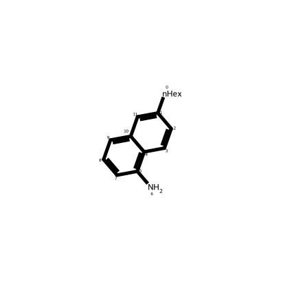 CCCCCCc1ccc2c(N)cccc2c1